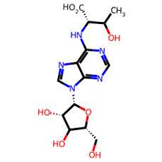 CC(O)[C@H](Nc1ncnc2c1ncn2[C@@H]1O[C@H](CO)C(O)[C@@H]1O)C(=O)O